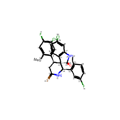 COc1cc(F)c(Cl)cc1[C@@H]1CC(=S)N[C@H](c2cc(F)ccc2C)[C@@]12C(=O)Nc1cc(Cl)ccc12